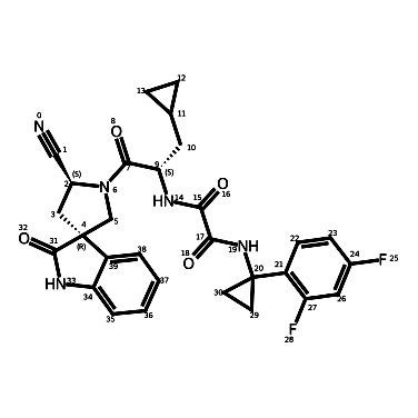 N#C[C@@H]1C[C@@]2(CN1C(=O)[C@H](CC1CC1)NC(=O)C(=O)NC1(c3ccc(F)cc3F)CC1)C(=O)Nc1ccccc12